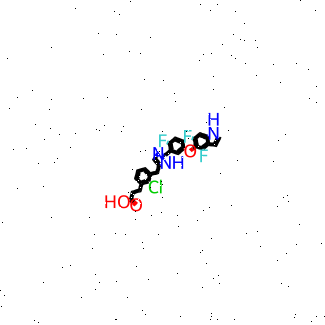 O=C(O)CCc1cccc(Cc2cnc(-c3cc(Oc4c(F)cc5[nH]ccc5c4F)ccc3F)[nH]2)c1Cl